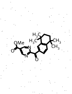 COC(=O)c1cnc(C(=O)c2ccc3c(c2)C(C)(C)CCC3(C)C)nc1